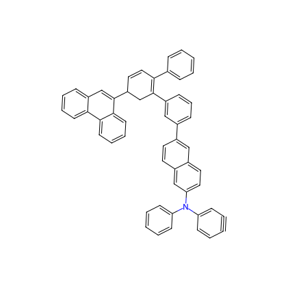 c1ccc(N(c2ccccc2)c2ccc3cc(-c4cccc(C5=C(c6ccccc6)C=CC(c6cc7ccccc7c7ccccc67)C5)c4)ccc3c2)cc#1